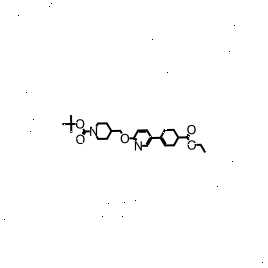 CCOC(=O)C1CC=C(c2ccc(OCC3CCN(C(=O)OC(C)(C)C)CC3)nc2)CC1